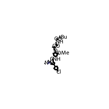 COc1cc(NC(=O)c2cc(-c3ccc(Cl)cc3)cn2/N=C/N(C)C)ccc1OCC(C)(C)OC(=O)CNC(=O)OC(C)(C)C